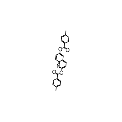 Cc1ccc(C(=O)Oc2ccc3nc(OC(=O)c4ccc(C)cc4)ccc3c2)cc1